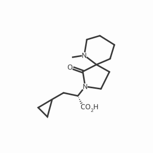 CN1CCCCC12CCN([C@@H](CC1CC1)C(=O)O)C2=O